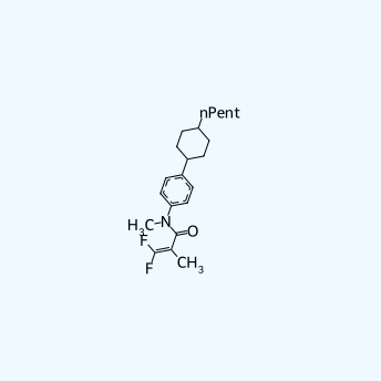 CCCCCC1CCC(c2ccc(N(C)C(=O)C(C)=C(F)F)cc2)CC1